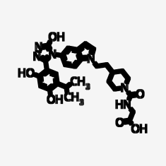 CC(C)c1cc(-c2nnc(O)n2-c2ccc3c(ccn3CCC3CCN(C(=O)NCC(=O)O)CC3)c2)c(O)cc1O